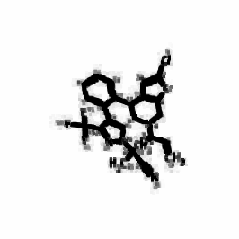 C=CC(=O)N1Cc2sc(Cl)cc2C(c2ccccc2-c2cn(C(C)(C)C#N)nc2C(F)(F)F)C1